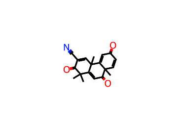 CC1(C)C(=O)C(C#N)=CC2(C)C1=CC(=O)C1(C)C=CC(=O)C=C12